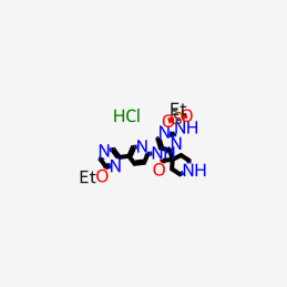 CCOc1cncc(-c2ccc(NC(=O)C3(c4ccnc(NS(=O)(=O)CC)n4)CCNCC3)nc2)n1.Cl